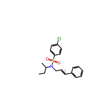 CCC(C)N(C/C=C/c1ccccc1)S(=O)(=O)c1ccc(Cl)cc1